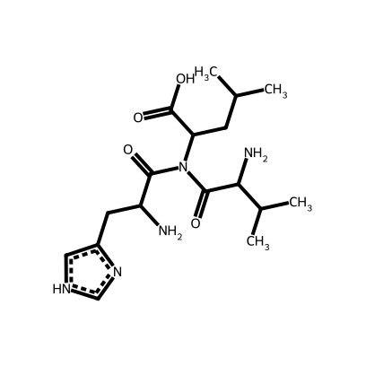 CC(C)CC(C(=O)O)N(C(=O)C(N)Cc1c[nH]cn1)C(=O)C(N)C(C)C